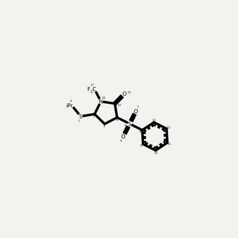 CC(C)SC1CC(S(=O)(=O)c2ccccc2)C(=O)N1C(F)(F)F